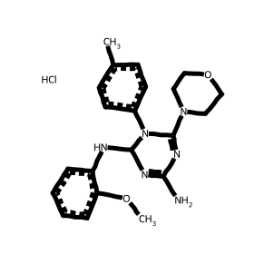 COc1ccccc1NC1N=C(N)N=C(N2CCOCC2)N1c1ccc(C)cc1.Cl